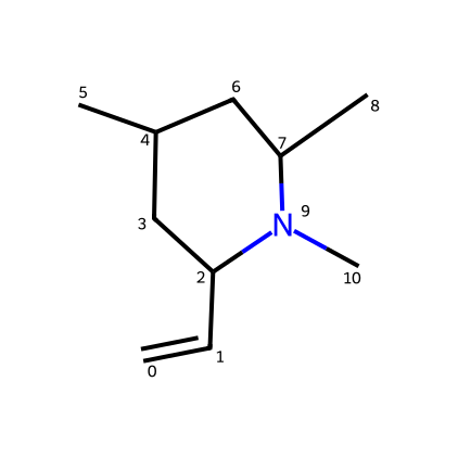 C=CC1CC(C)CC(C)N1C